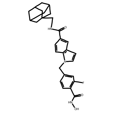 O=C(NCC12CC3CC(CC(C3)C1)C2)c1ccc2c(ccn2Cc2ccc(C(=O)NO)c(F)c2)c1